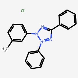 Cc1cccc(-n2nc(-c3ccccc3)n[n+]2-c2ccccc2)c1.[Cl-]